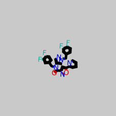 O=C(c1cc(-c2ccccn2)on1)N(Cc1ccc(F)c(F)c1)c1cnn(Cc2ccc(F)c(F)c2)c1